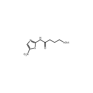 CCCCCCCCCCCC(=O)Nc1ncc([N+](=O)[O-])s1